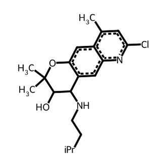 Cc1cc(Cl)nc2cc3c(cc12)OC(C)(C)C(O)C3NCCC(C)C